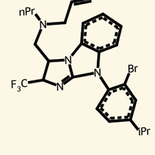 C=CCN(CCC)CC1C(C(F)(F)F)N=C2N(c3ccc(C(C)C)cc3Br)c3ccccc3N21